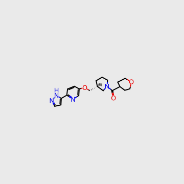 O=C(C1CCOCC1)N1CCC[C@@H](COc2ccc(-c3ccn[nH]3)nc2)C1